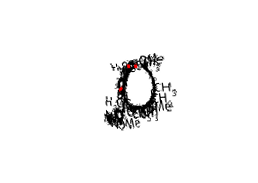 COC1C(=O)C(C)C[C@H](C)/C=C/C=C/C=C(\C)[C@@H](OC)C[C@@H]2CC[C@@H](C)[C@@](O)(O2)C(=O)C(=O)N2CCCC[C@H]2C(=O)O[C@H](C(C)CC2CC[C@H](n3ncnn3)C(OC)C2)CC(=O)C(C)/C=C(\C)[C@H]1O